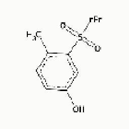 CCCS(=O)(=O)c1cc(O)ccc1C